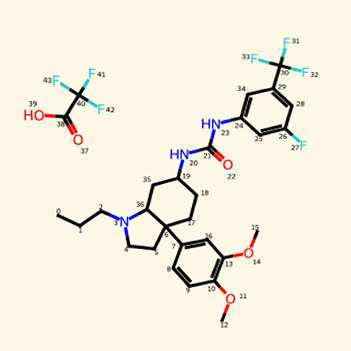 CCCN1CCC2(c3ccc(OC)c(OC)c3)CCC(NC(=O)Nc3cc(F)cc(C(F)(F)F)c3)CC12.O=C(O)C(F)(F)F